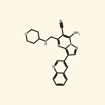 N#Cc1c(CNC2CCOCC2)nc2c(-c3cnc4ccccc4c3)cnn2c1N